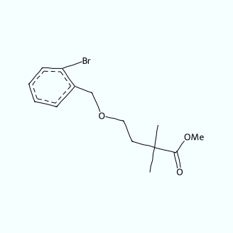 COC(=O)C(C)(C)CCOCc1ccccc1Br